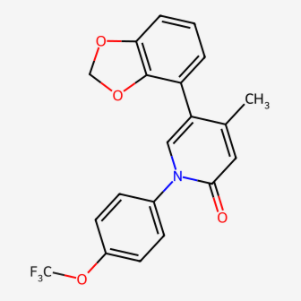 Cc1cc(=O)n(-c2ccc(OC(F)(F)F)cc2)cc1-c1cccc2c1OCO2